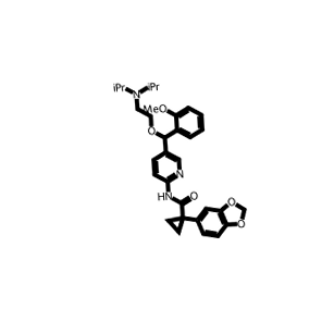 COc1ccccc1C(OCCN(C(C)C)C(C)C)c1ccc(NC(=O)C2(c3ccc4c(c3)OCO4)CC2)nc1